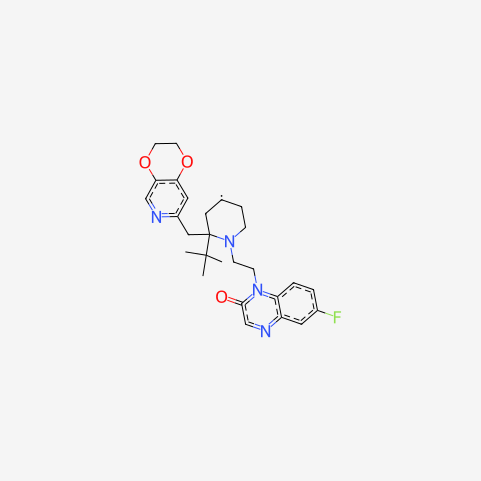 CC(C)(C)C1(Cc2cc3c(cn2)OCCO3)C[CH]CCN1CCn1c(=O)cnc2cc(F)ccc21